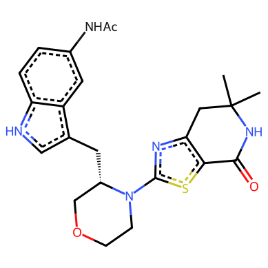 CC(=O)Nc1ccc2[nH]cc(C[C@H]3COCCN3c3nc4c(s3)C(=O)NC(C)(C)C4)c2c1